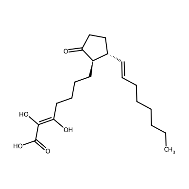 CCCCCC/C=C/[C@H]1CCC(=O)[C@@H]1CCCC/C(O)=C(\O)C(=O)O